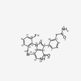 NC(=O)Cc1cccc(-c2nn(-c3c(F)cccc3F)c3c(Br)c[nH]c(=O)c23)c1